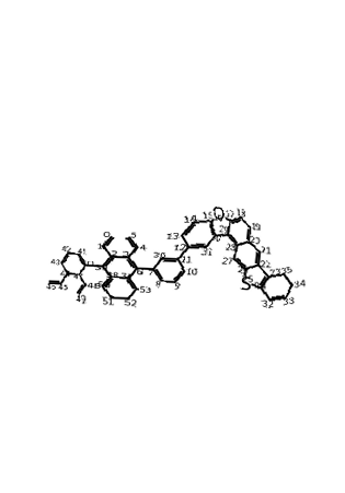 C=Cc1c(C=C)c(-c2cccc(-c3ccc4oc5ccc6cc7c8c(sc7cc6c5c4c3)C=CCC8)c2)c2c(c1C1=CC=CC(C=C)C1C=C)=CCCC=2